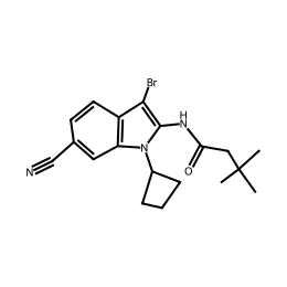 CC(C)(C)CC(=O)Nc1c(Br)c2ccc(C#N)cc2n1C1CCC1